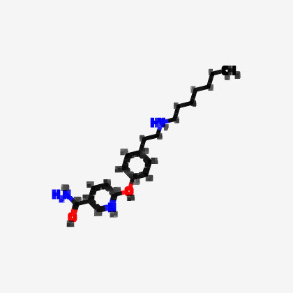 CCCCCCCNCCc1ccc(Oc2ccc(C(N)=O)cn2)cc1